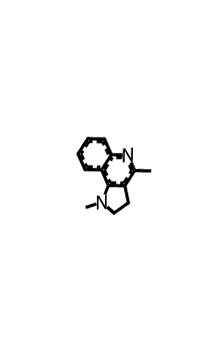 Cc1nc2ccccc2c2c1CCN2C